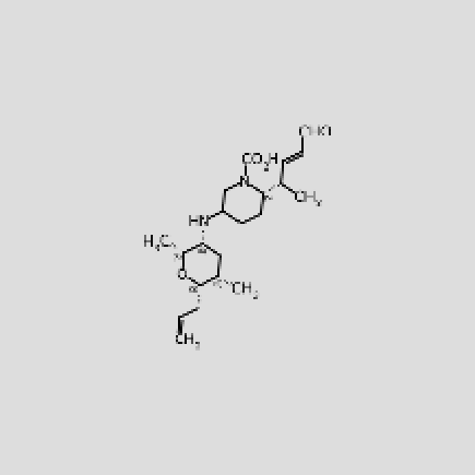 C=CC[C@@H]1O[C@H](C)[C@H](NC2CC[C@@H](C(C)C=CC=O)N(C(=O)O)C2)C[C@@H]1C